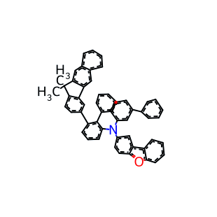 CC1(C)c2ccc(-c3cccc(N(c4cccc(-c5ccccc5)c4)c4ccc5oc6ccccc6c5c4)c3-c3ccccc3)cc2-c2cc3ccccc3cc21